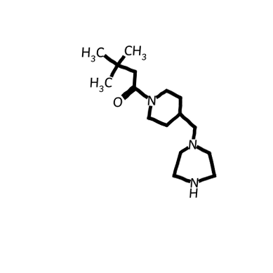 CC(C)(C)CC(=O)N1CCC(CN2CCNCC2)CC1